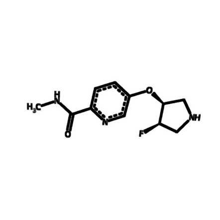 CNC(=O)c1ccc(O[C@H]2CNC[C@H]2F)cn1